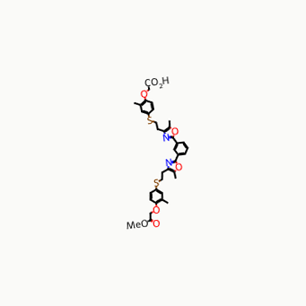 COC(=O)COc1ccc(SCCc2nc(-c3cccc(-c4nc(CCSc5ccc(OCC(=O)O)c(C)c5)c(C)o4)c3)oc2C)cc1C